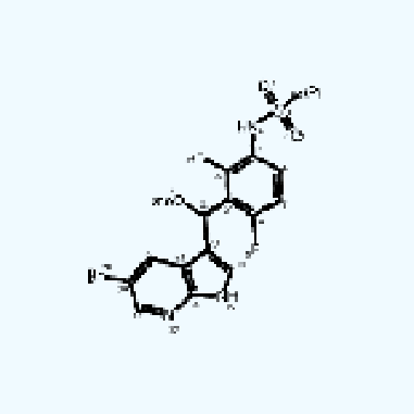 CCCS(=O)(=O)Nc1ccc(F)c(C(OC)c2c[nH]c3ncc(Br)cc23)c1F